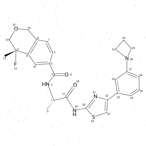 C[C@H](NC(=O)c1ccc2c(c1)[C@](C)(F)COC2)C(=O)Nc1nc(-c2cccc(N3CCC3)c2)cs1